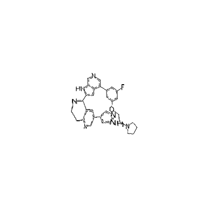 Fc1cc(OCCN2CCCC2)cc(-c2cncc3[nH]c(C4=NCCc5ncc(-c6cn[nH]c6)cc54)cc23)c1